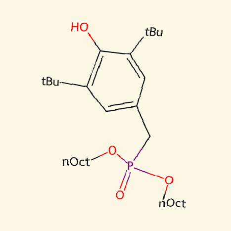 CCCCCCCCOP(=O)(Cc1cc(C(C)(C)C)c(O)c(C(C)(C)C)c1)OCCCCCCCC